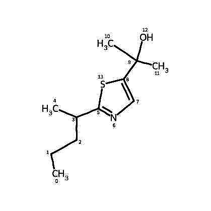 CCCC(C)c1ncc(C(C)(C)O)s1